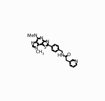 CNc1nc2nc(-c3ccc(CNC(=O)Cc4cccnc4)cc3)sc2c2c1ncn2C